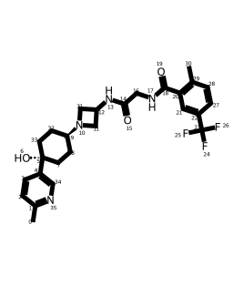 Cc1ccc([C@]2(O)CC[C@H](N3CC(NC(=O)CNC(=O)c4cc(C(F)(F)F)ccc4C)C3)CC2)cn1